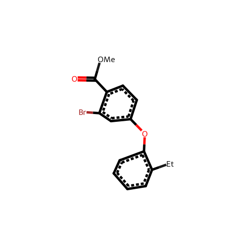 CCc1ccccc1Oc1ccc(C(=O)OC)c(Br)c1